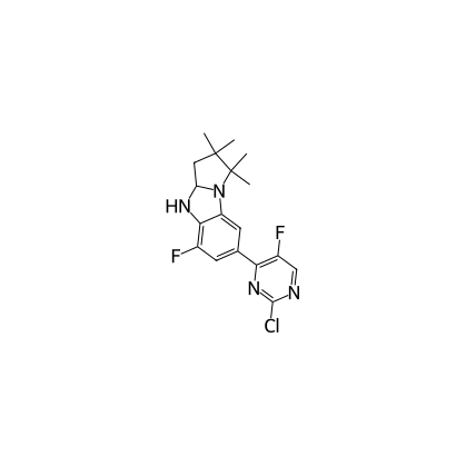 CC1(C)CC2Nc3c(F)cc(-c4nc(Cl)ncc4F)cc3N2C1(C)C